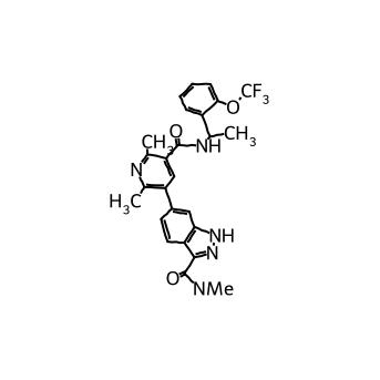 CNC(=O)c1n[nH]c2cc(-c3cc(C(=O)NC(C)c4ccccc4OC(F)(F)F)c(C)nc3C)ccc12